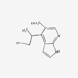 CCOC(=O)c1cnc2[nH]ccc2c1C(C)CCl